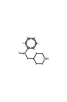 CN(CC1CCNCC1)c1ccccc1